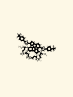 CCCC(C)Oc1cc2c(cc1OC(C)CCC)C1(c3cc(-c4nnc(-c5ccc(C(F)(F)F)cc5)o4)ccc3-c3ccc(-c4nnc(-c5ccc(C(F)(F)F)cc5)o4)cc31)c1cc(OC(C)CCC)c(OC(C)CCC)cc1-2